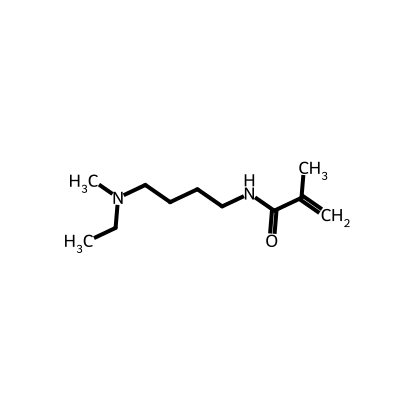 C=C(C)C(=O)NCCCCN(C)CC